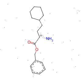 N[C@@H](CCC1CCCCC1)C(=O)OCc1ccccc1